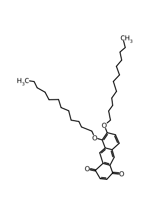 CCCCCCCCCCCCOc1ccc2cc3c(cc2c1OCCCCCCCCCCCC)C(=O)C=CC3=O